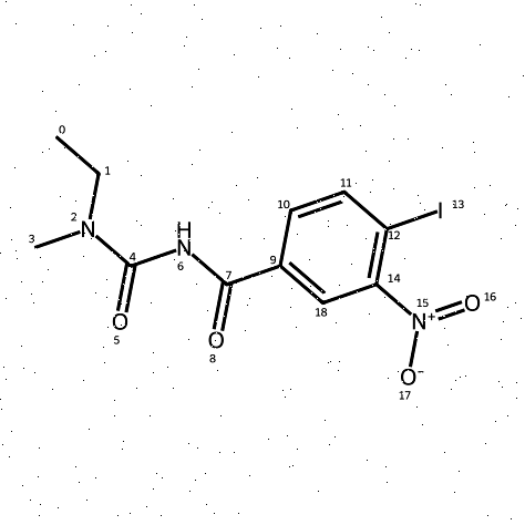 CCN(C)C(=O)NC(=O)c1ccc(I)c([N+](=O)[O-])c1